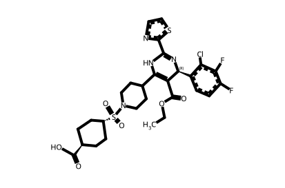 CCOC(=O)C1=C(C2CCN(S(=O)(=O)[C@H]3CC[C@H](C(=O)O)CC3)CC2)NC(c2nccs2)=N[C@H]1c1ccc(F)c(F)c1Cl